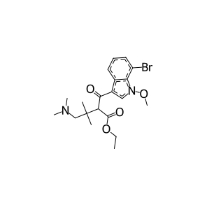 CCOC(=O)C(C(=O)c1cn(OC)c2c(Br)cccc12)C(C)(C)CN(C)C